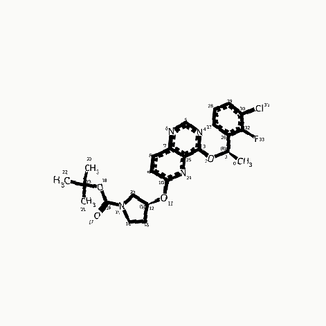 C[C@@H](Oc1ncnc2ccc(O[C@H]3CCN(C(=O)OC(C)(C)C)C3)nc12)c1cccc(Cl)c1F